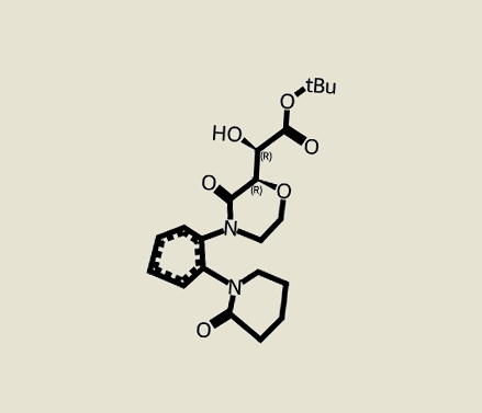 CC(C)(C)OC(=O)[C@H](O)[C@H]1OCCN(c2ccccc2N2CCCCC2=O)C1=O